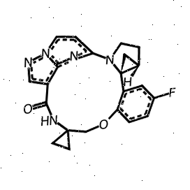 O=C1NC2(CC2)COc2ccc(F)cc2[C@@]23C[C@@H]2CCN3c2ccn3ncc1c3n2